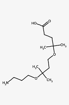 CC(C)(CCOC(C)(C)CCC(=O)O)OCCCN